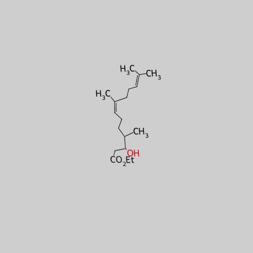 CCOC(=O)CC(O)C(C)CCC=C(C)CCC=C(C)C